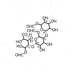 O=COC1O[C@@H](O[C@@H]2C(OC=O)O[C@@H](O[C@H](C(O)OC=O)C(O)C(O)C(=O)O)[C@H](O)C2O)C(O)C(O)[C@@H]1O